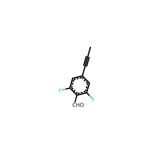 CC#Cc1cc(F)c(C=O)c(F)c1